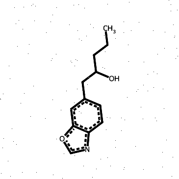 CCCC(O)Cc1ccc2ncoc2c1